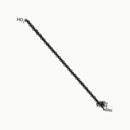 CCCCCCCCCCCCCC(O)N[C@@H](CCC(=O)NCCOCCOCCOCCOCCOCCOCCOCCOCCOCCOCCOCCOCCOCCOCCOCCOCCOCCOCCOCCOCCOCCOCCOCCOCCOCCOCCOCCOCCOCCOCCOCCOCCOCCOCCOCCOCCC(=O)O)C(=O)OC(C)(C)C